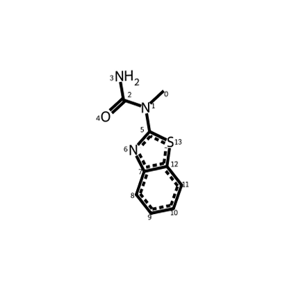 CN(C(N)=O)c1nc2ccccc2s1